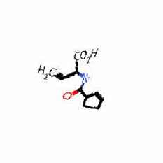 C=CC([N]C(=O)C1CCCC1)C(=O)O